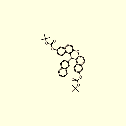 CC(C)(C)OC(=O)Oc1ccc2c3c(ccc2c1)Oc1ccc2cc(OC(=O)OC(C)(C)C)ccc2c1C3c1ccc2ccccc2c1